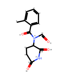 Cc1ccccc1C(=O)N(C=O)C1CCC(=O)NC1=O